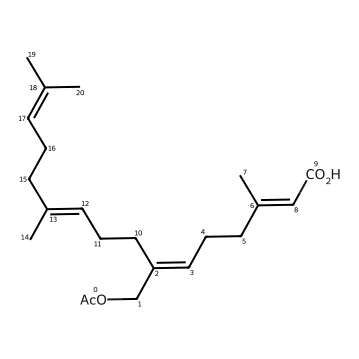 CC(=O)OC/C(=C/CC/C(C)=C/C(=O)O)CC/C=C(\C)CCC=C(C)C